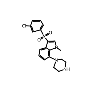 Cn1cc(S(=O)(=O)c2cccc(Cl)c2)c2cccc(N3CCNCC3)c21